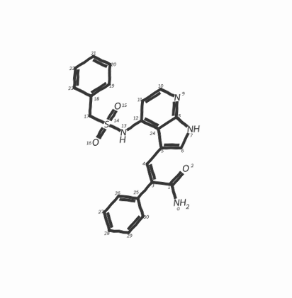 NC(=O)C(=Cc1c[nH]c2nccc(NS(=O)(=O)Cc3ccccc3)c12)c1ccccc1